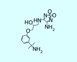 CC(C)(N)c1cccc(OCC(O)CNC2=NS(=O)(=O)N=C2N)c1